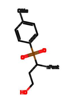 CCCCCC(CCO)S(=O)(=O)c1ccc(OC)cc1